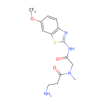 CN(CC(=O)Nc1nc2ccc(OC(F)(F)F)cc2s1)C(=O)CCN